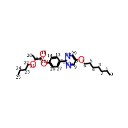 CCCCCCCOc1cnc(-c2ccc(OC(=O)C(C)OCCCC)cc2)nc1